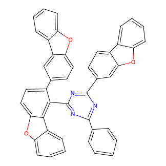 c1ccc(-c2nc(-c3ccc4c(c3)oc3ccccc34)nc(-c3c(-c4ccc5oc6ccccc6c5c4)ccc4oc5ccccc5c34)n2)cc1